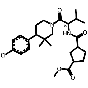 COC(=O)C1CCC(C(=O)N[C@@H](C(=O)N2CCC(c3ccc(Cl)cc3)C(C)(C)C2)C(C)C)C1